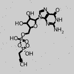 C#CCP(=O)(O)OP(=O)(O)OCC1OC(n2cnc3c(=O)[nH]c(N)nc32)C(O)C1O